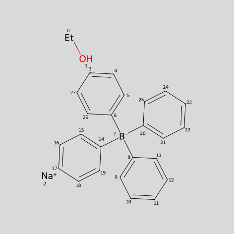 CCO.[Na+].c1ccc([B-](c2ccccc2)(c2ccccc2)c2ccccc2)cc1